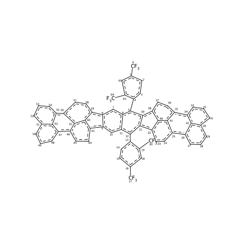 FC(F)(F)c1ccc(-c2c3cc4c(cc3c(-c3ccc(C(F)(F)F)cc3C(F)(F)F)c3c5ccc6c7cccc8cccc(c9ccc(c23)c5c96)c87)c2ccc3c5cccc6cccc(c7ccc4c2c73)c65)c(C(F)(F)F)c1